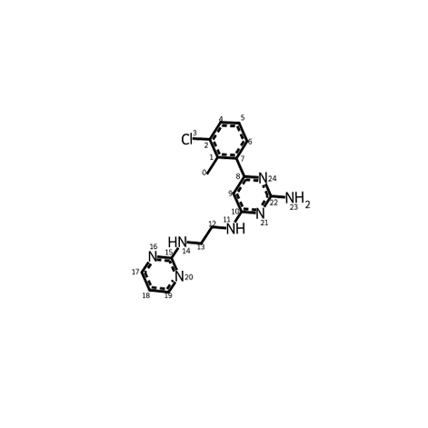 Cc1c(Cl)cccc1-c1cc(NCCNc2ncccn2)nc(N)n1